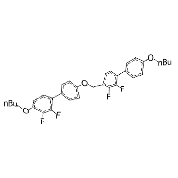 CCCCOc1ccc(-c2ccc(COc3ccc(-c4ccc(OCCCC)c(F)c4F)cc3)c(F)c2F)cc1